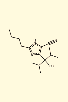 CCCCc1nc(C(O)(C(C)C)C(C)C)c(C#N)[nH]1